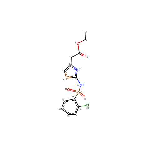 CCOC(=O)Cc1csc(NS(=O)(=O)c2ccccc2Cl)n1